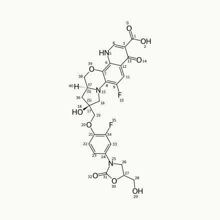 O=C(O)c1c[nH]c2c3c(c(F)cc2c1=O)N1C[C@](O)(COc2ccc(N4CC(CO)OC4=O)cc2F)C[C@H]1CO3